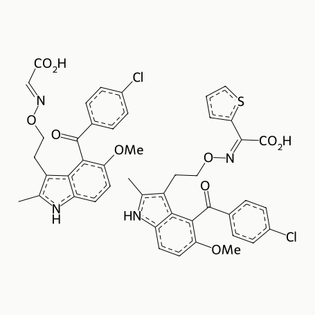 COc1ccc2[nH]c(C)c(CCON=C(C(=O)O)c3cccs3)c2c1C(=O)c1ccc(Cl)cc1.COc1ccc2[nH]c(C)c(CCON=CC(=O)O)c2c1C(=O)c1ccc(Cl)cc1